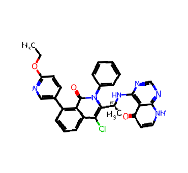 CCOc1ccc(-c2cccc3c(Cl)c([C@H](C)Nc4ncnc5[nH]ccc(=O)c45)n(-c4ccccc4)c(=O)c23)cn1